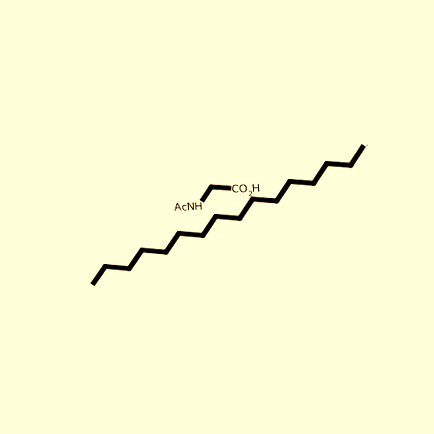 CC(=O)NCC(=O)O.[CH2]CCCCCCCCCCCCCCC